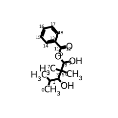 CC(C)C(O)C(C)(C)C(O)OC(=O)c1ccccc1